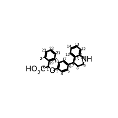 O=C(O)C(Oc1ccc(C2CCNc3ccccc32)cc1)c1ccccc1